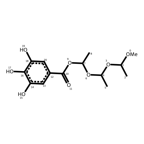 COC(C)OC(C)OC(C)OC(=O)c1cc(O)c(O)c(O)c1